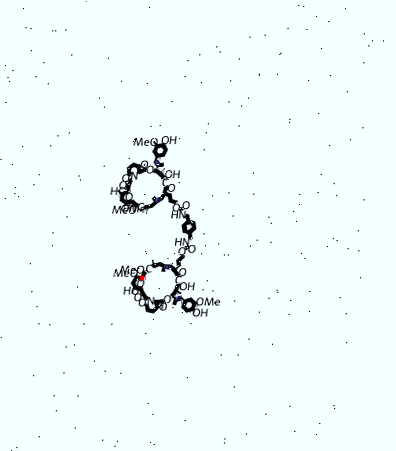 CO[C@H]1C[C@@H](C)C/C(C)=C/C(CCCOC(=O)NCc2ccc(CNC(=O)OCCC[C@@H]3/C=C(\C)C[C@H](C)C[C@H](OC)[C@H]4O[C@@](O)(C(=O)C(=O)N5CCCC[C@H]5C(=O)O[C@H](/C(C)=C/[C@@H]5CC[C@@H](O)[C@H](OC)C5)[C@H](C)[C@@H](O)CC3=O)[C@H](C)C[C@@H]4OC)cc2)C(=O)C[C@H](O)[C@@H](C)[C@@H](/C(C)=C/[C@@H]2CC[C@@H](O)[C@H](OC)C2)OC(=O)[C@@H]2CCCCN2C(=O)C(=O)[C@]2(O)O[C@H]1[C@@H](OC)C[C@H]2C